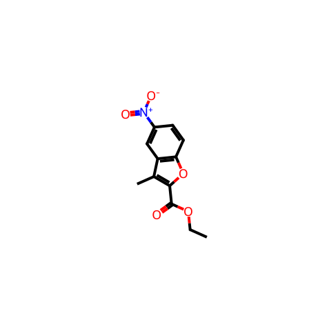 CCOC(=O)c1oc2ccc([N+](=O)[O-])cc2c1C